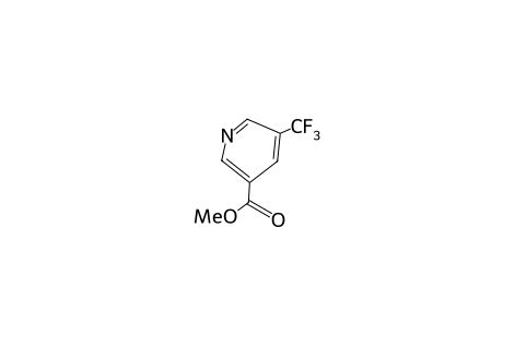 COC(=O)c1cncc(C(F)(F)F)c1